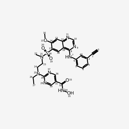 C#Cc1cccc(Nc2ncnc3cc(OC)c(S(=O)(=O)N(C)CCN(CC)c4ncc(C(=O)NO)cn4)cc23)c1